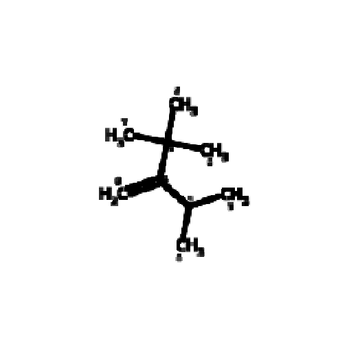 C=C(C(C)C)C(C)(C)C